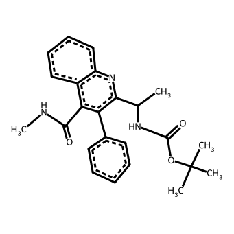 CNC(=O)c1c(-c2ccccc2)c(C(C)NC(=O)OC(C)(C)C)nc2ccccc12